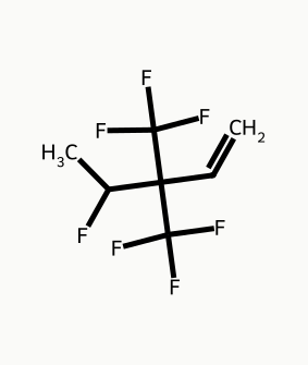 C=CC(C(C)F)(C(F)(F)F)C(F)(F)F